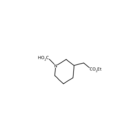 CCOC(=O)CC1CCCN(C(=O)O)C1